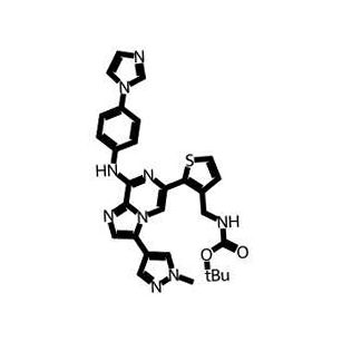 Cn1cc(-c2cnc3c(Nc4ccc(-n5ccnc5)cc4)nc(-c4sccc4CNC(=O)OC(C)(C)C)cn23)cn1